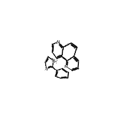 c1ccc(-c2ncc[nH]2)cc1.c1cnc2c(c1)ccc1ncccc12